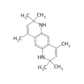 CC1=CC(C)(C)Nc2cc3c(cc21)NC(C)(C)C=C3C